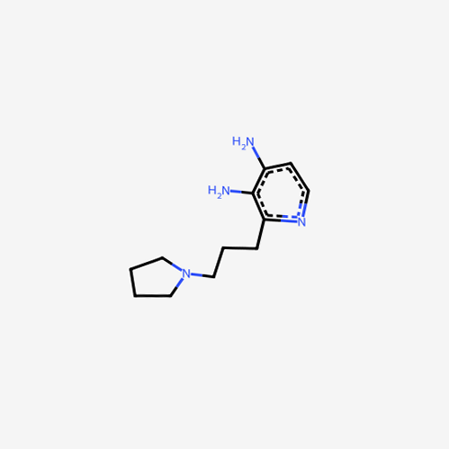 Nc1ccnc(CCCN2CCCC2)c1N